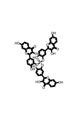 O=c1c(O)c(-c2ccc(O)c(OP(=O)(Oc3cc(-c4oc5cc(O)ccc5c(=O)c4O)ccc3O)Oc3cc(-c4oc5cc(O)ccc5c(=O)c4O)ccc3O)c2)oc2cc(O)ccc12